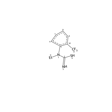 CCN(C(=N)S)c1ccccc1C(F)(F)F